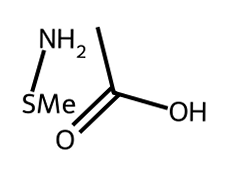 CC(=O)O.CSN